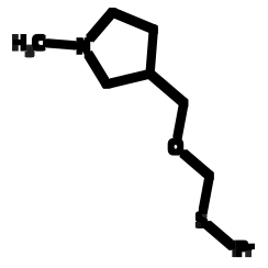 CC(C)SCOCC1CCN(C)C1